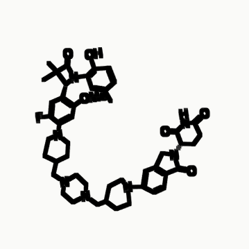 COc1cc(N2CCC(CN3CCN(CC4CCN(c5ccc6c(c5)CN([C@H]5CCC(=O)NC5=O)C6=O)CC4)CC3)CC2)c(F)cc1[C@@H]1N(c2cc(C)ccc2O)C(=O)C1(C)C